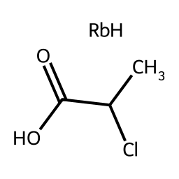 CC(Cl)C(=O)O.[RbH]